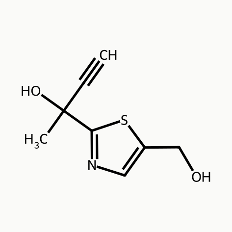 C#CC(C)(O)c1ncc(CO)s1